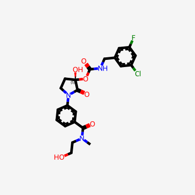 CN(CCO)C(=O)c1cccc(N2CC[C@](O)(OC(=O)NCc3cc(F)cc(Cl)c3)C2=O)c1